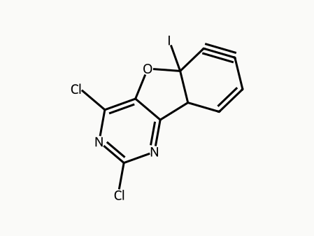 Clc1nc(Cl)c2c(n1)C1C=CC#CC1(I)O2